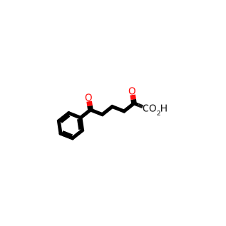 O=C(O)C(=O)CCCC(=O)c1ccccc1